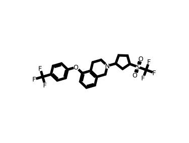 O=S(=O)(C1CCC(N2CCc3c(cccc3Oc3ccc(C(F)(F)F)cc3)C2)C1)C(F)(F)F